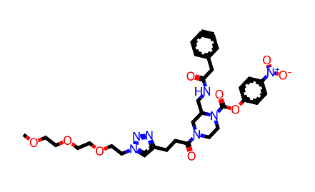 COCCOCCOCCn1cc(CCC(=O)N2CCN(C(=O)Oc3ccc([N+](=O)[O-])cc3)C(CNC(=O)Cc3cc#ccc3)C2)nn1